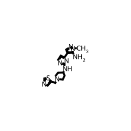 Cn1ncc(-c2ccnc(NC3CCN(Cc4cncs4)CC3)n2)c1N